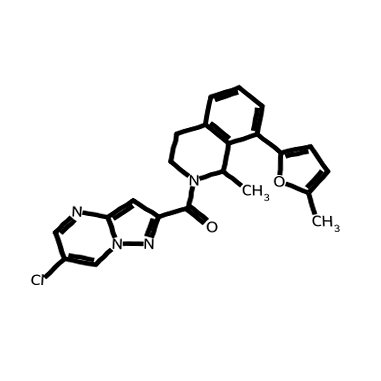 Cc1ccc(-c2cccc3c2C(C)N(C(=O)c2cc4ncc(Cl)cn4n2)CC3)o1